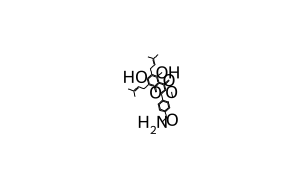 COc1c(-c2ccc(C(N)=O)cc2)oc2c(CC=C(C)C)c(O)c(CC=C(C)C)c(O)c2c1=O